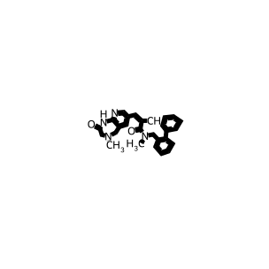 CC(=Cc1cnc2c(c1)CN(C)CC(=O)N2)C(=O)N(C)Cc1ccccc1-c1ccccc1